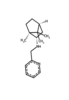 CC1(C)[C@H]2CC[C@]1(C)[C@@H](NCc1ccccn1)C2